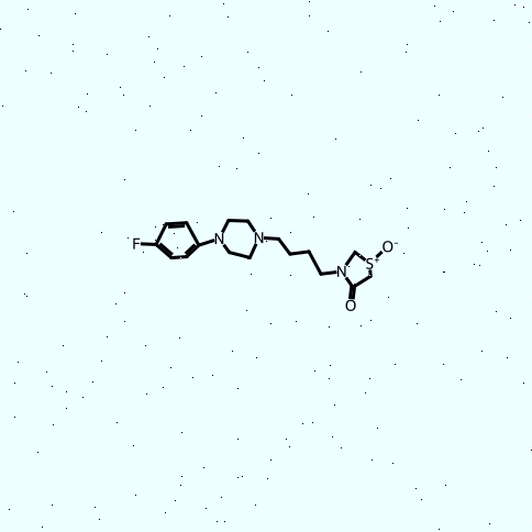 O=C1C[S+]([O-])CN1CCCCN1CCN(c2ccc(F)cc2)CC1